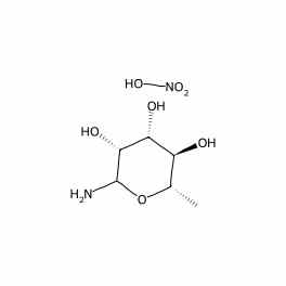 C[C@@H]1OC(N)[C@H](O)[C@H](O)[C@H]1O.O=[N+]([O-])O